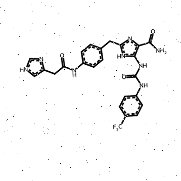 NC(=O)c1nc(Cc2ccc(NC(=O)Cc3c[nH]cn3)cc2)[nH]c1NC(=O)Nc1ccc(C(F)(F)F)cc1